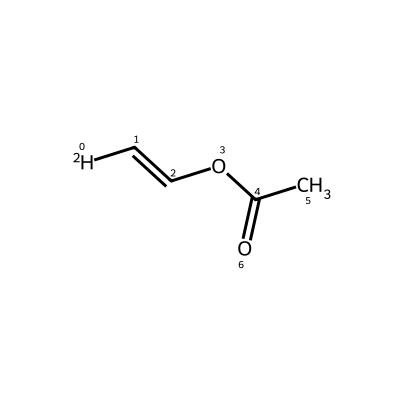 [2H]C=COC(C)=O